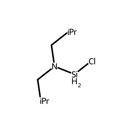 CC(C)CN(CC(C)C)[SiH2]Cl